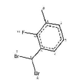 Cc1cccc(C(Br)Br)c1F